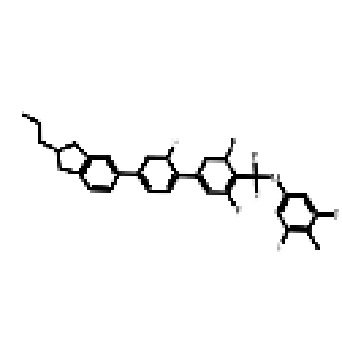 CCCC1Cc2ccc(C3=CC=C(C4=CC(F)=C(C(F)(F)Oc5cc(F)c(C)c(F)c5)C(F)C4)C(F)C3)cc2C1